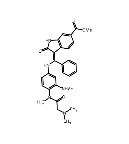 COC(=O)c1ccc2c(c1)NC(=O)/C2=C(\Nc1ccc(N(C)C(=O)CN(C)C)c(NC(C)=O)c1)c1ccccc1